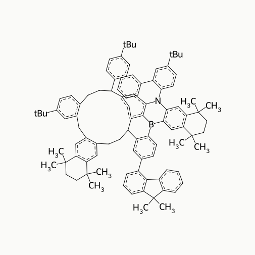 CC(C)(C)c1ccc(C2CCc3ccc(C(C)(C)C)cc3Cc3cc4c(cc3CCC3c5cc(-c6cccc7c6-c6ccccc6C7(C)C)ccc5B5c6cc7c(cc6N(c6ccc(C(C)(C)C)cc6-c6ccccc6)c6cc2cc3c65)C(C)(C)CCC7(C)C)C(C)(C)CCC4(C)C)cc1